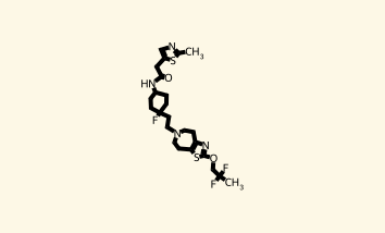 Cc1ncc(CC(=O)NC2CCC(F)(CCN3CCc4nc(OCC(C)(F)F)sc4CC3)CC2)s1